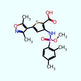 COP(=O)(Nc1cc(-c2c(C)noc2C)sc1C(=O)O)c1ccc(C)cc1C